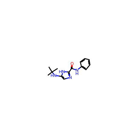 CC(C)(C)Nc1cnc(C(=O)Nc2ccccc2)[nH]1